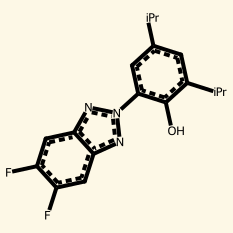 CC(C)c1cc(C(C)C)c(O)c(-n2nc3cc(F)c(F)cc3n2)c1